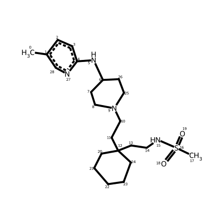 Cc1ccc(NC2CCN(CCC3(CCNS(C)(=O)=O)CCCCC3)CC2)nc1